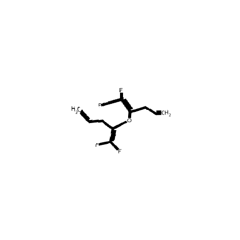 C=CCC(OC(CC=C)=C(F)F)=C(F)F